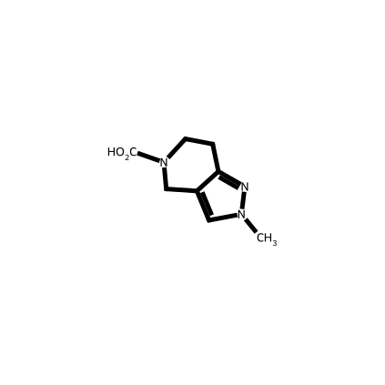 Cn1cc2c(n1)CCN(C(=O)O)C2